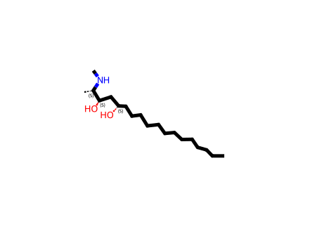 CCCCCCCCCCCCC[C@H](O)C[C@H](O)[C@H](C)NC